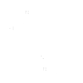 Cn1ccc(-c2cccc3cnc(Cl)cc23)n1